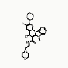 Cn1c2ccccc2n2c3nc(N4CCOCC4)c(F)cc3c(=O)c(C(=O)NCCN3CCOCC3)c12